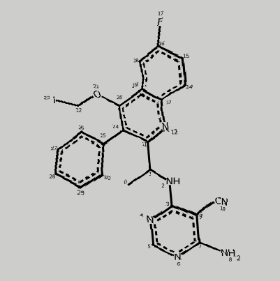 CC(Nc1ncnc(N)c1C#N)c1nc2ccc(F)cc2c(OCI)c1-c1ccccc1